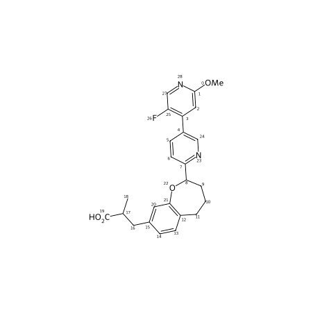 COc1cc(-c2ccc(C3CCCc4ccc(CC(C)C(=O)O)cc4O3)nc2)c(F)cn1